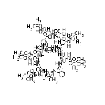 CC(C)C[C@@H]1NC(=O)[C@@H](Cc2ccccc2)NC(=O)[C@H](CCNC(=O)OC(C)(C)C)NC(=O)[C@@H](NC(=O)[C@H](CCNC(=O)OC(C)(C)C)NC(=O)[C@@H](NC(=O)[C@H](CCNC(=O)OC(C)(C)C)OC(=O)c2ccnc(-c3cccc(Cl)c3)c2)C(C)O)CCNC(=O)[C@H](C(C)O)NC(=O)[C@H](CCNC(=O)OC(C)(C)C)NC(=O)[C@H](CCNC(=O)OC(C)(C)C)NC1=O